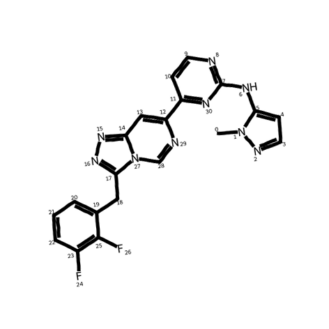 Cn1nccc1Nc1nccc(-c2cc3nnc(Cc4cccc(F)c4F)n3cn2)n1